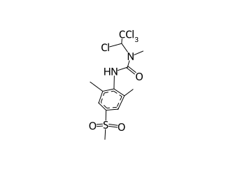 Cc1cc(S(C)(=O)=O)cc(C)c1NC(=O)N(C)C(Cl)C(Cl)(Cl)Cl